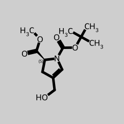 COC(=O)[C@@H]1CC(CO)=CN1C(=O)OC(C)(C)C